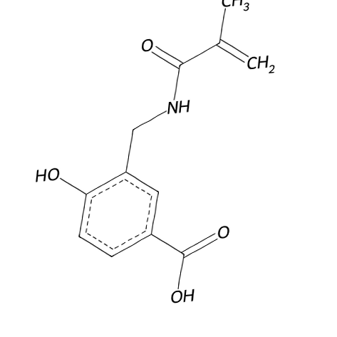 C=C(C)C(=O)NCc1cc(C(=O)O)ccc1O